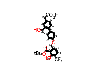 CC(C)(C)OC(=O)c1c(COc2ccc(-c3ccc(CC(=O)O)cc3CO)cc2)ccc(C(F)(F)F)c1O